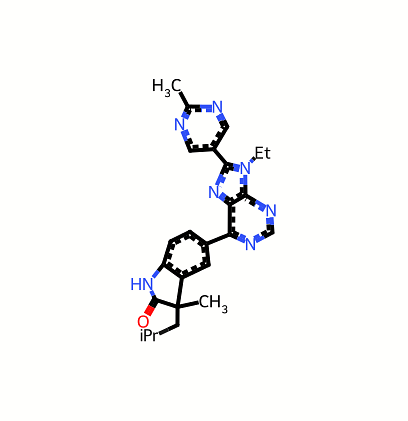 CCn1c(-c2cnc(C)nc2)nc2c(-c3ccc4c(c3)C(C)(CC(C)C)C(=O)N4)ncnc21